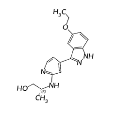 CCOc1ccc2[nH]nc(-c3ccnc(N[C@H](C)CO)c3)c2c1